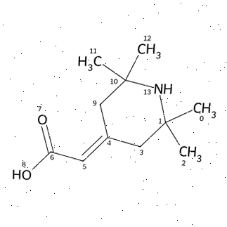 CC1(C)CC(=CC(=O)O)CC(C)(C)N1